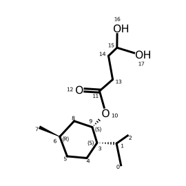 CC(C)[C@@H]1CC[C@@H](C)C[C@@H]1OC(=O)CCC(O)O